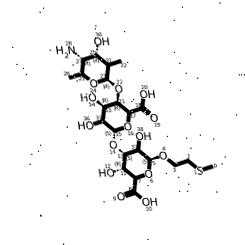 CSCCO[C@H]1OC(C(=O)O)[C@H](O)[C@H](O[C@H]2OC(C(=O)O)[C@H](O[C@H]3OC(C)[C@H](N)[C@H](O)C3C)[C@H](O)C2O)C1O